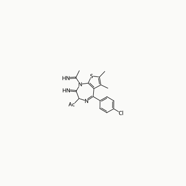 CC(=N)N1C(=N)C(C(C)=O)N=C(c2ccc(Cl)cc2)c2c1sc(C)c2C